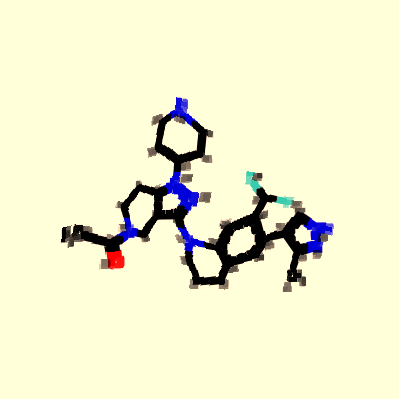 CC(=O)N1CCc2c(c(N3CCCc4cc(-c5c[nH]nc5C)c(C(F)F)cc43)nn2C2CCNCC2)C1